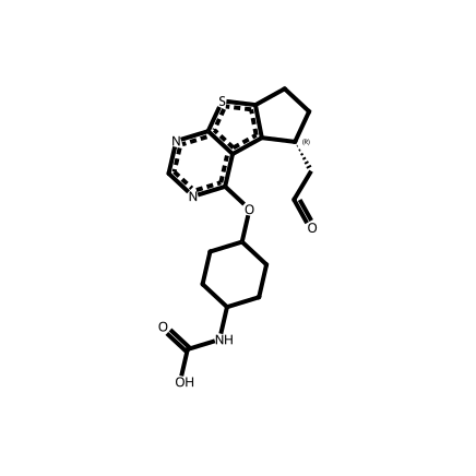 O=CC[C@H]1CCc2sc3ncnc(OC4CCC(NC(=O)O)CC4)c3c21